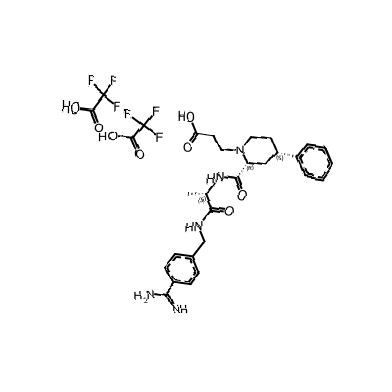 C[C@H](NC(=O)[C@H]1C[C@@H](c2ccccc2)CCN1CCC(=O)O)C(=O)NCc1ccc(C(=N)N)cc1.O=C(O)C(F)(F)F.O=C(O)C(F)(F)F